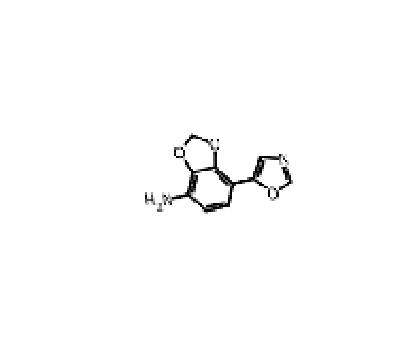 Nc1ccc(-c2cnco2)c2c1OCO2